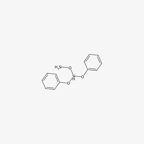 [SiH3]O[SiH](Oc1ccccc1)Oc1ccccc1